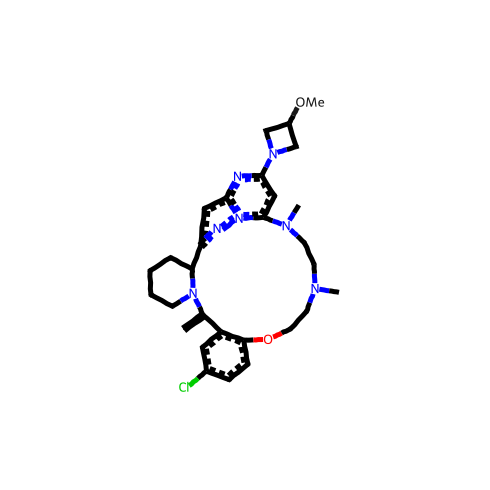 C=C1c2cc(Cl)ccc2OCCN(C)CCN(C)c2cc(N3CC(OC)C3)nc3cc(nn23)C2CCCCN12